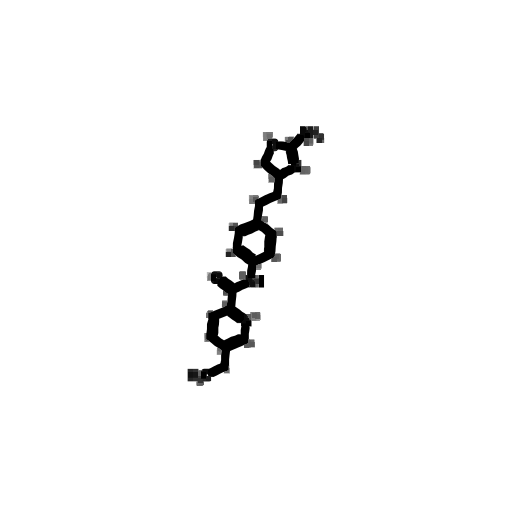 CCc1ccc(C(=O)Nc2ccc(CCC3COC(N)=N3)cc2)nc1